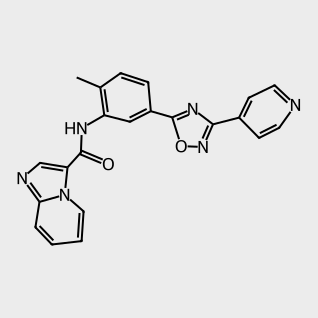 Cc1ccc(-c2nc(-c3ccncc3)no2)cc1NC(=O)c1cnc2ccccn12